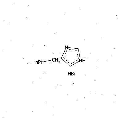 Br.CCCC.c1c[nH]cn1